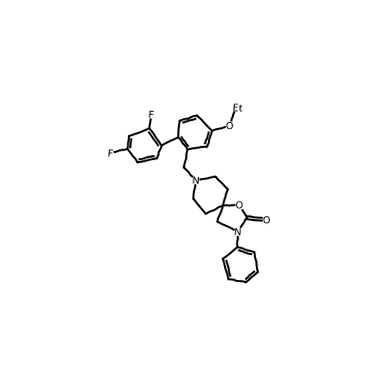 CCOc1ccc(-c2ccc(F)cc2F)c(CN2CCC3(CC2)CN(c2ccccc2)C(=O)O3)c1